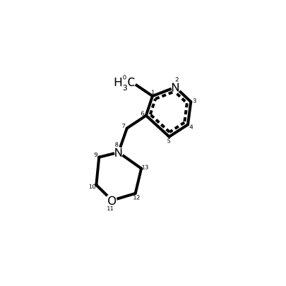 Cc1ncccc1CN1CCOCC1